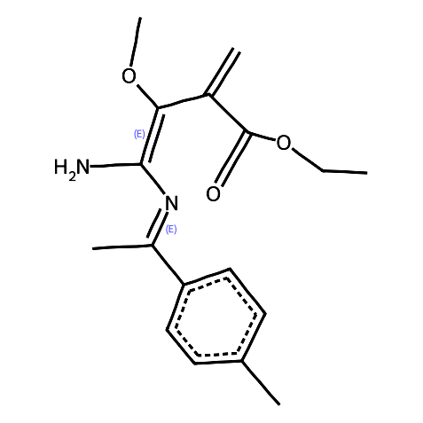 C=C(C(=O)OCC)/C(OC)=C(N)\N=C(/C)c1ccc(C)cc1